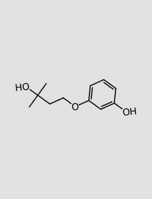 CC(C)(O)CCOc1cccc(O)c1